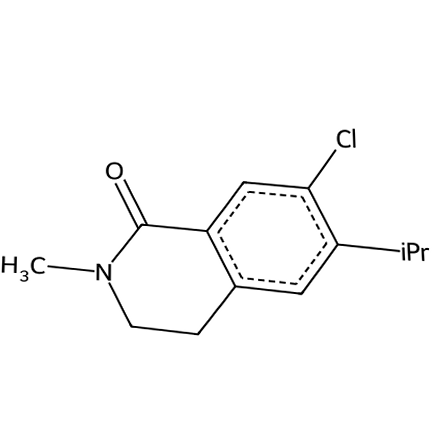 CC(C)c1cc2c(cc1Cl)C(=O)N(C)CC2